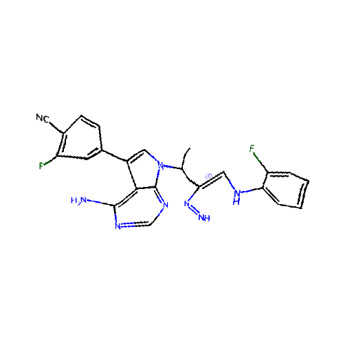 CC(/C(=C/Nc1ccccc1F)N=N)n1cc(-c2ccc(C#N)c(F)c2)c2c(N)ncnc21